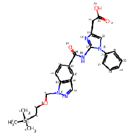 C[Si](C)(C)CCOCn1ncc2cc(C(=O)Nc3nc(CC(=O)O)cn3-c3ccccc3)ccc21